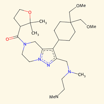 CNCCN(C)Cc1nn2c(c1C1CCC(COC)(COC)CC1)CN(C(=O)C1CCOC1(C)C)CC2